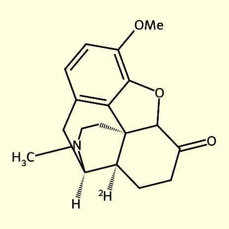 [2H][C@@]12CCC(=O)C3Oc4c(OC)ccc5c4[C@@]31CCN(C)[C@@H]2C5